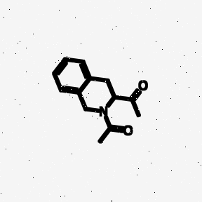 CC(=O)C1Cc2ccccc2CN1C(C)=O